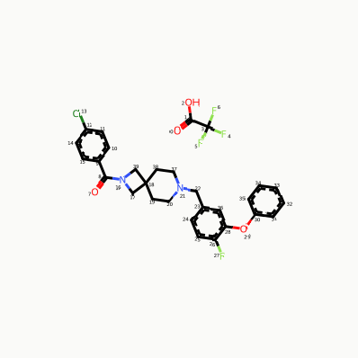 O=C(O)C(F)(F)F.O=C(c1ccc(Cl)cc1)N1CC2(CCN(Cc3ccc(F)c(Oc4ccccc4)c3)CC2)C1